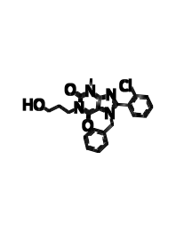 Cn1c(=O)n(CCCO)c(=O)c2c1nc(-c1ccccc1Cl)n2Cc1ccccc1